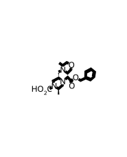 CC1COCCN1C[C@H]1CN(C(=O)O)[C@H](C)CN1CC(=O)OCc1ccccc1